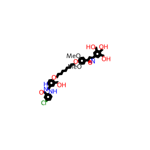 COc1cc(C2CC(c3cc(CO)c(CO)c(CO)c3)=NO2)cc(OC)c1OCCCCCCCCCOc1ccc(C2NC(=O)c3cc(Cl)ccc3N2)cc1CO